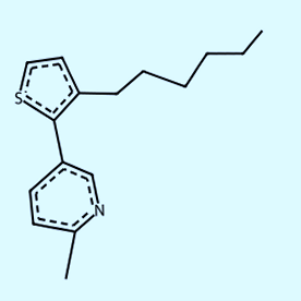 CCCCCCc1ccsc1-c1ccc(C)nc1